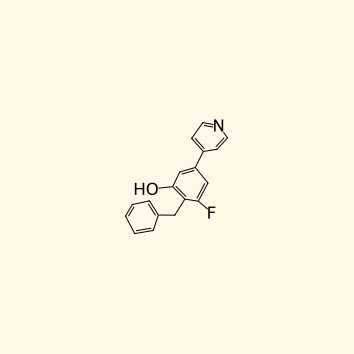 Oc1cc(-c2ccncc2)cc(F)c1Cc1ccccc1